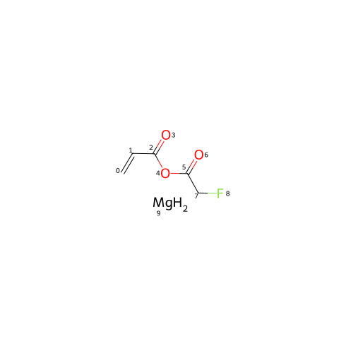 C=CC(=O)OC(=O)CF.[MgH2]